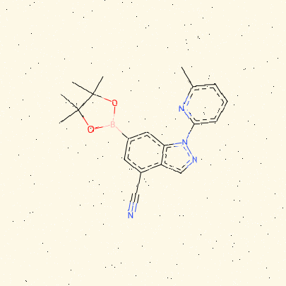 Cc1cccc(-n2ncc3c(C#N)cc(B4OC(C)(C)C(C)(C)O4)cc32)n1